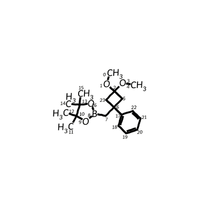 COC1(OC)CC(CB2OC(C)(C)C(C)(C)O2)(c2ccccc2)C1